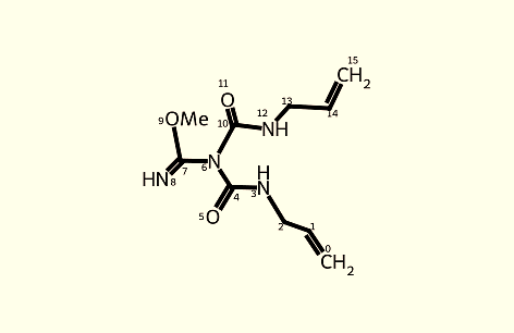 C=CCNC(=O)N(C(=N)OC)C(=O)NCC=C